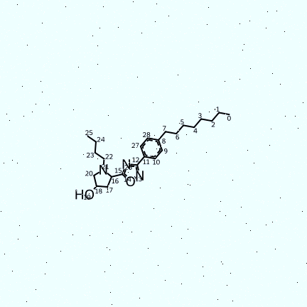 CCCCCCCCc1ccc(-c2noc(C3CC(O)CN3CCCC)n2)cc1